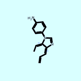 C=C/C=c1/ncn(-c2ccc(N)cc2)/c1=C/C